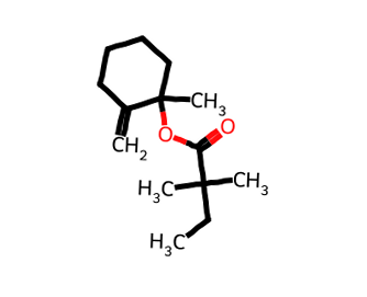 C=C1CCCCC1(C)OC(=O)C(C)(C)CC